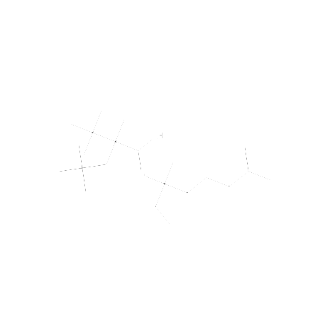 CCC(C)(CCCC(C)C)OC(O)C(C)(CC(C)(C)C)C(C)(C)C